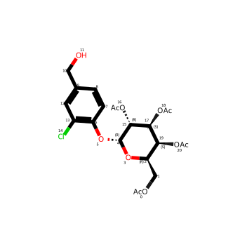 CC(=O)OC[C@H]1O[C@H](Oc2ccc(CO)cc2Cl)[C@H](OC(C)=O)[C@@H](OC(C)=O)[C@H]1OC(C)=O